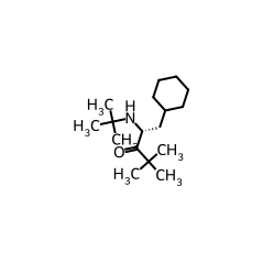 CC(C)(C)N[C@H](CC1CCCCC1)C(=O)C(C)(C)C